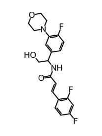 O=C(C=Cc1ccc(F)cc1F)NC(CO)c1ccc(F)c(N2CCOCC2)c1